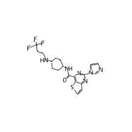 O=C(NC1CCC(NCCC(F)(F)F)CC1)c1nc(-n2ccnc2)nc2ccsc12